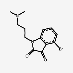 CN(C)CCCN1C(=O)C(=O)c2c(Br)cccc21